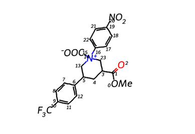 COC(=O)C1CC(c2ccc(C(F)(F)F)cc2)C[N+](C(=O)[O-])(c2ccc([N+](=O)[O-])cc2)C1